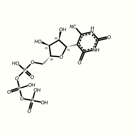 N#Cc1[nH]c(=O)[nH]c(=O)c1[C@@H]1O[C@H](COP(=O)(O)OP(=O)(O)OP(=O)(O)O)[C@@H](O)[C@H]1O